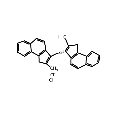 CC1=[C]([Zr+2][C]2=C(C)Cc3c2ccc2ccccc32)c2ccc3ccccc3c2C1.[Cl-].[Cl-]